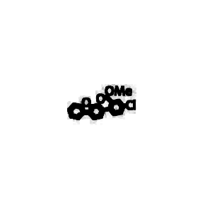 COC(=O)c1cc(Cl)ccc1-c1ccc2c(c1)oc1ccccc12